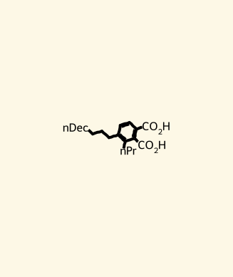 CCCCCCCCCCCCCc1ccc(C(=O)O)c(C(=O)O)c1CCC